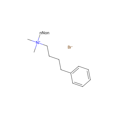 CCCCCCCCC[N+](C)(C)CCCCc1ccccc1.[Br-]